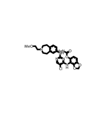 CNC(=O)Oc1ccc2c(c1Nc1nc(Nc3ccc4c(c3)CCN(CCOC)CC4)ncc1Cl)OCO2